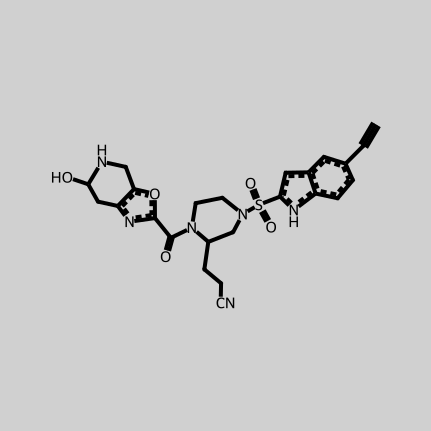 C#Cc1ccc2[nH]c(S(=O)(=O)N3CCN(C(=O)c4nc5c(o4)CNC(O)C5)C(CCC#N)C3)cc2c1